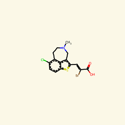 CN1CCc2c(Cl)ccc3sc(/C=C(\Br)C(=O)O)c(c23)C1